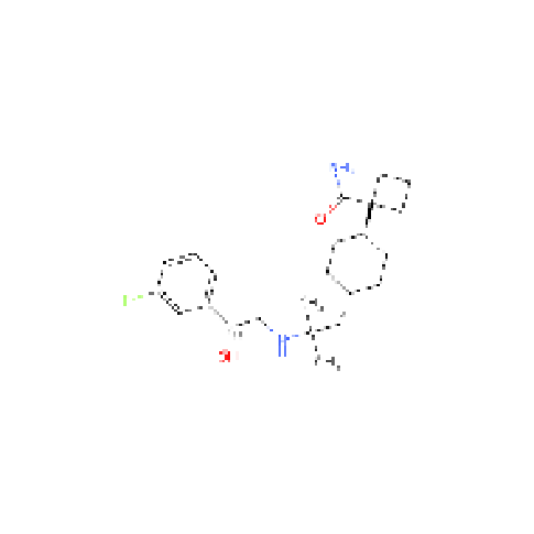 CC(C)(C[C@H]1CC[C@H](C2(C(N)=O)CCC2)CC1)NC[C@H](O)c1cccc(F)c1